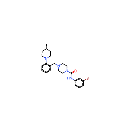 CC1CCN(c2ccccc2CN2CCN(C(=O)Nc3cccc(Br)c3)CC2)CC1